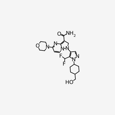 NC(=O)C1=C2N=C(N3CCOCC3)C=CN2N(c2cnn(C3CCC(CO)CC3)c2C(F)F)C1